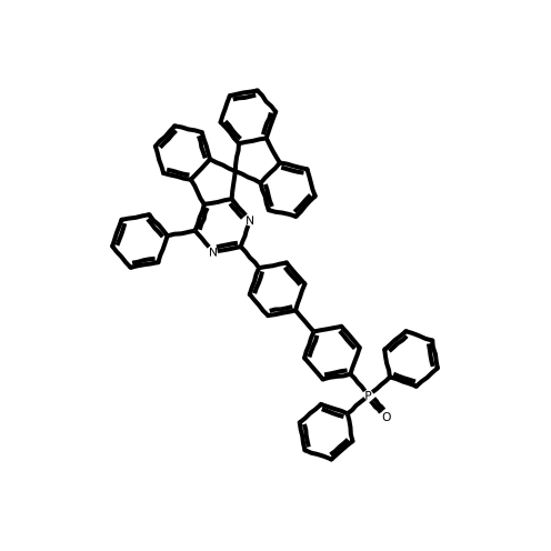 O=P(c1ccccc1)(c1ccccc1)c1ccc(-c2ccc(-c3nc(-c4ccccc4)c4c(n3)C3(c5ccccc5-c5ccccc53)c3ccccc3-4)cc2)cc1